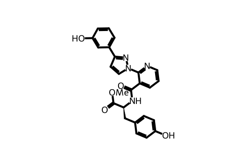 COC(=O)[C@H](Cc1ccc(O)cc1)NC(=O)c1cccnc1-n1ccc(-c2cccc(O)c2)n1